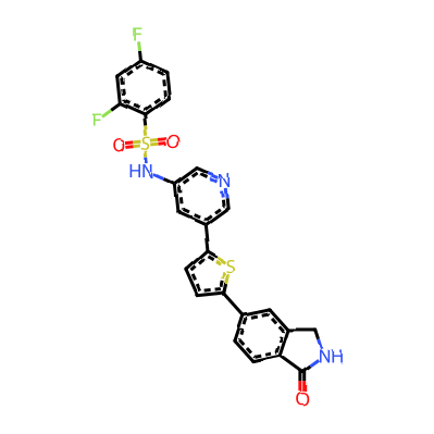 O=C1NCc2cc(-c3ccc(-c4cncc(NS(=O)(=O)c5ccc(F)cc5F)c4)s3)ccc21